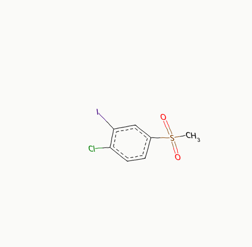 CS(=O)(=O)c1ccc(Cl)c(I)c1